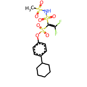 CS(=O)(=O)NS(=O)(=O)C(=C(F)F)S(=O)(=O)Oc1ccc(C2CCCCC2)cc1